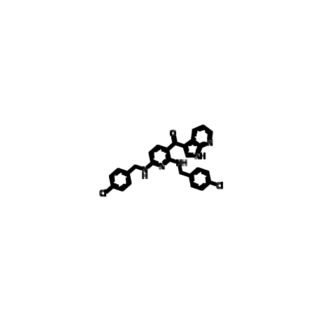 O=C(c1ccc(NCc2ccc(Cl)cc2)nc1NCc1ccc(Cl)cc1)c1c[nH]c2ncccc12